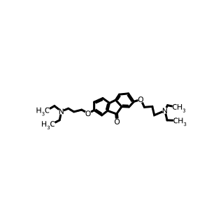 CCN(CC)CCCOc1ccc2c(c1)C(=O)c1cc(OCCCN(CC)CC)ccc1-2